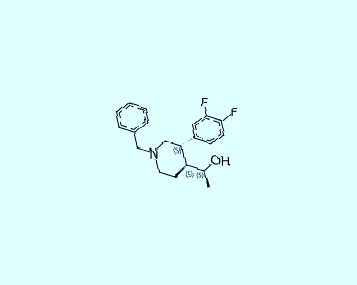 C[C@H](O)[C@H]1CCN(Cc2ccccc2)C[C@@H]1c1ccc(F)c(F)c1